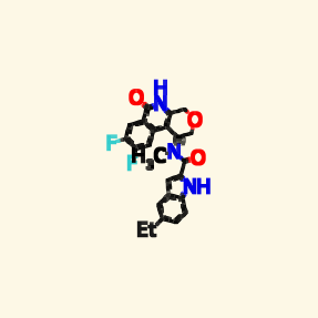 CCc1ccc2[nH]c(C(=O)N(C)[C@H]3COCc4[nH]c(=O)c5cc(F)c(F)cc5c43)cc2c1